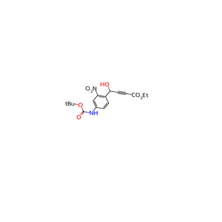 CCOC(=O)C#CC(O)c1ccc(NC(=O)OC(C)(C)C)cc1[N+](=O)[O-]